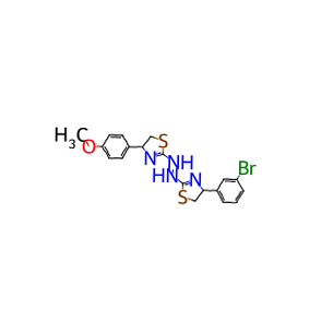 COc1ccc(C2CSC(NNC3=NC(c4cccc(Br)c4)CS3)=N2)cc1